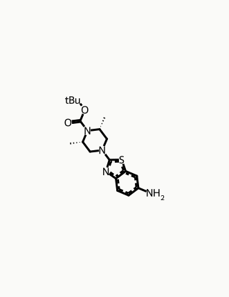 C[C@@H]1CN(c2nc3ccc(N)cc3s2)C[C@H](C)N1C(=O)OC(C)(C)C